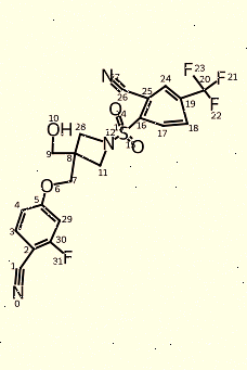 N#Cc1ccc(OCC2(CO)CN(S(=O)(=O)c3ccc(C(F)(F)F)cc3C#N)C2)cc1F